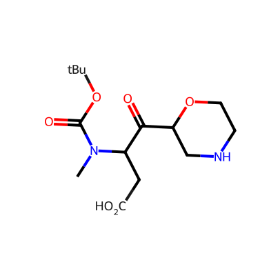 CN(C(=O)OC(C)(C)C)C(CC(=O)O)C(=O)C1CNCCO1